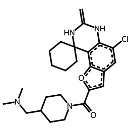 C=C1Nc2c(Cl)cc3cc(C(=O)N4CCC(CN(C)C)CC4)oc3c2C2(CCCCC2)N1